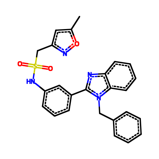 Cc1cc(CS(=O)(=O)Nc2cccc(-c3nc4ccccc4n3Cc3ccccc3)c2)no1